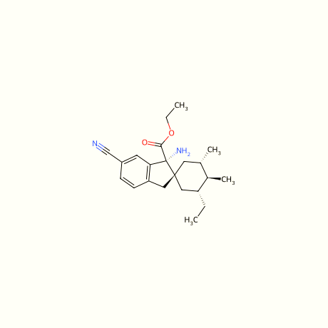 CCOC(=O)[C@]1(N)c2cc(C#N)ccc2C[C@@]12C[C@@H](CC)[C@H](C)[C@@H](C)C2